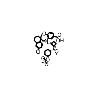 COC([C@H]1CCC[C@@H](OS(C)(=O)=O)C1)[C@@H]1CC[C@H]1CN1CC2(CCCc3cc(Cl)ccc32)COc2ccc(C(=O)O)cc21